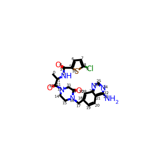 CC(NC(=O)c1ccc(Cl)s1)C(=O)N1CCN(Cc2ccc3c(N)ncnc3c2)C(=O)C1